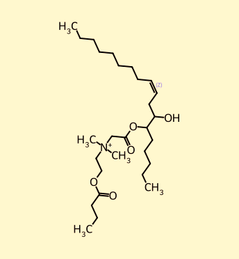 CCCCCCCC/C=C\CC(O)C(CCCCC)OC(=O)C[N+](C)(C)CCOC(=O)CCC